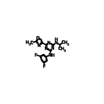 Cc1nc(-c2nc(Nc3cc(F)cc(F)c3)nc(NC(C)C)n2)co1